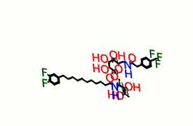 C[C@@H](O)[C@@H](O)[C@H](CO[C@H]1OC(CNC(=O)Cc2ccc(C(F)(F)F)cc2)[C@H](O)C(O)C1O)NC(=O)CCCCCCCCCCc1ccc(F)c(F)c1